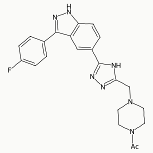 CC(=O)N1CCN(Cc2nnc(-c3ccc4[nH]nc(-c5ccc(F)cc5)c4c3)[nH]2)CC1